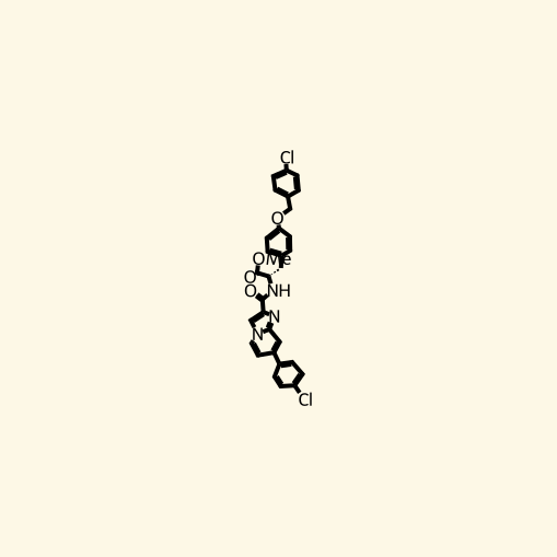 COC(=O)[C@H](Cc1ccc(OCc2ccc(Cl)cc2)cc1)NC(=O)c1cn2ccc(-c3ccc(Cl)cc3)cc2n1